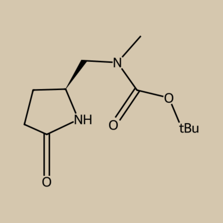 CN(C[C@@H]1CCC(=O)N1)C(=O)OC(C)(C)C